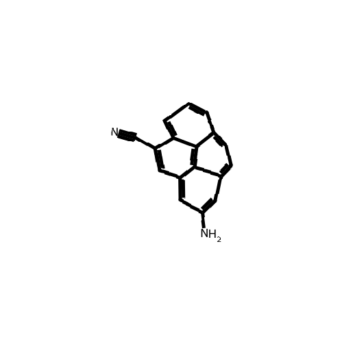 N#Cc1cc2cc(N)cc3ccc4cccc1c4c32